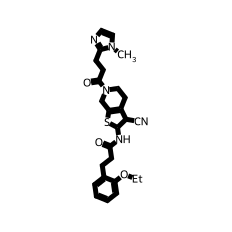 CCOc1ccccc1CCC(=O)NC1SC2=C(CCN(C(=O)CCc3nccn3C)C2)C1C#N